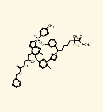 COC(=O)C(C)(C)CCCCC(c1cccc(Br)c1)n1ccc(-c2cc(Oc3c(F)cc4c(ccn4S(=O)(=O)c4ccc(C)cc4)c3CC(O)CNC(=O)OCc3ccccc3)ccc2F)n1